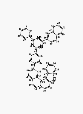 c1ccc(-c2nc(-c3ccc(-c4ccc5ccc6ccc7oc8ccccc8c7c6c5c4)cc3)nc(-c3ccc4ccccc4c3)n2)cc1